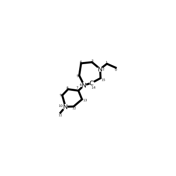 CCN1CCCN(C2CCN(C)CC2)CC1